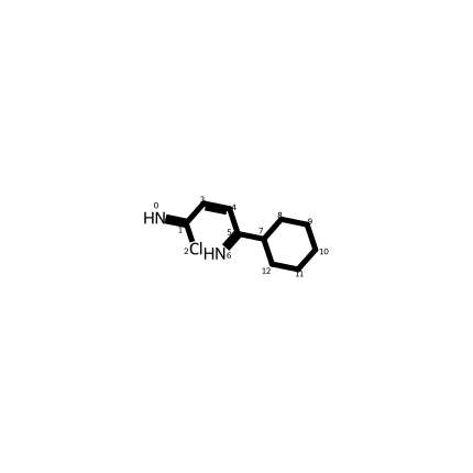 N=C(Cl)/C=C\C(=N)C1CCCCC1